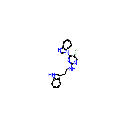 Clc1cnc(NCCc2c[nH]c3ccccc23)nc1-n1cnc2ccccc21